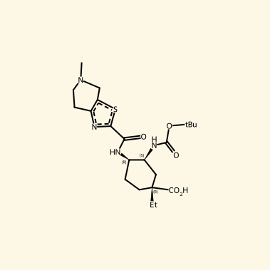 CC[C@@]1(C(=O)O)CC[C@@H](NC(=O)c2nc3c(s2)CN(C)CC3)[C@@H](NC(=O)OC(C)(C)C)C1